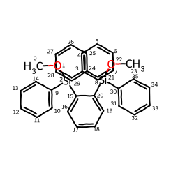 CO[Si](c1ccccc1)(c1ccccc1)c1ccccc1[Si](OC)(c1ccccc1)c1ccccc1